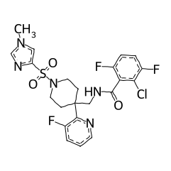 Cn1cnc(S(=O)(=O)N2CCC(CNC(=O)c3c(F)ccc(F)c3Cl)(c3ncccc3F)CC2)c1